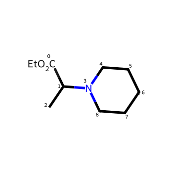 CCOC(=O)C(C)N1CC[CH]CC1